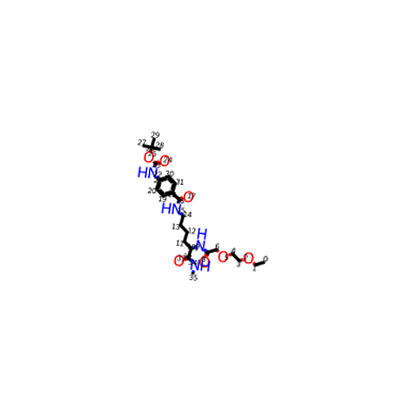 CCOCCOCC(=O)NC(CCCCNC(=O)c1ccc(NC(=O)OC(C)(C)C)cc1)C(=O)NC